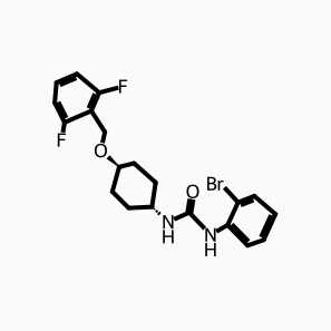 O=C(Nc1ccccc1Br)N[C@H]1CC[C@H](OCc2c(F)cccc2F)CC1